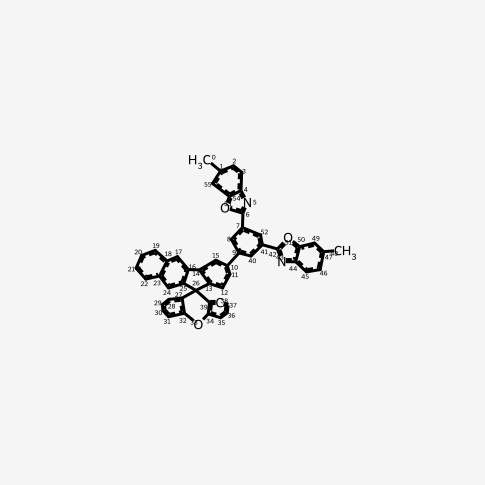 Cc1ccc2nc(-c3cc(-c4ccc5c(c4)-c4cc6ccccc6cc4C54c5ccccc5Oc5ccccc54)cc(-c4nc5ccc(C)cc5o4)c3)oc2c1